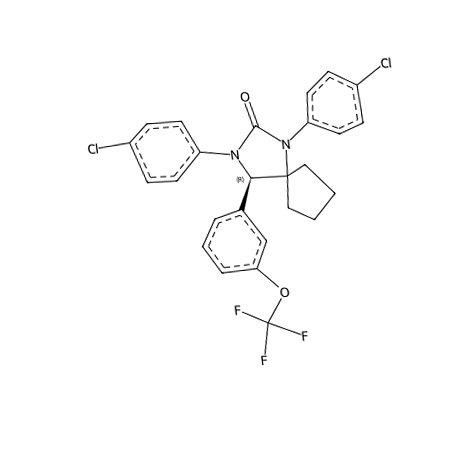 O=C1N(c2ccc(Cl)cc2)[C@H](c2cccc(OC(F)(F)F)c2)C2(CCCC2)N1c1ccc(Cl)cc1